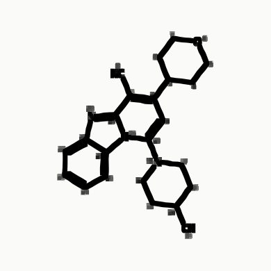 N#Cc1c(C2CCOCC2)cc(N2CCC(C#N)CC2)n2c1nc1ccccc12